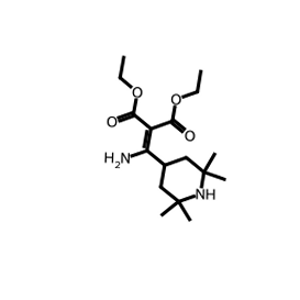 CCOC(=O)C(C(=O)OCC)=C(N)C1CC(C)(C)NC(C)(C)C1